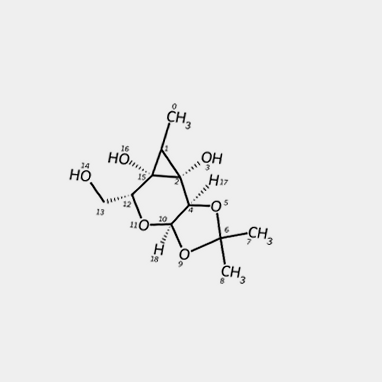 CC1[C@@]2(O)[C@H]3OC(C)(C)O[C@H]3O[C@H](CO)[C@@]12O